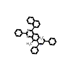 C=C(/C=C(/c1ccccc1)c1ccc2c(-c3cccc4ccccc34)nc(-c3ccccc3)nc2c1C)c1ccccc1